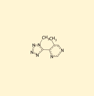 Cc1cncnc1-c1nnnn1C